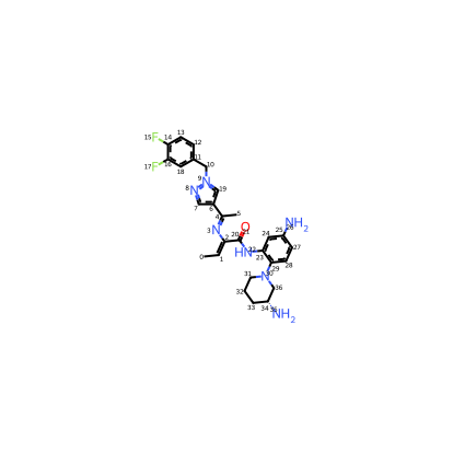 C/C=C(\N=C(/C)c1cnn(Cc2ccc(F)c(F)c2)c1)C(=O)Nc1cc(N)ccc1N1CCC[C@@H](N)C1